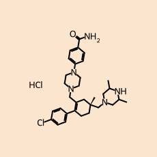 CC1CN(C[C@]2(C)CCC(c3ccc(Cl)cc3)=C(CN3CCN(c4ccc(C(N)=O)cc4)CC3)C2)CC(C)N1.Cl